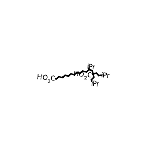 CC(C)CCC(CCC(C)C)(CC(CCCCCCCCCCCC(=O)O)C(C)C)C(=O)O